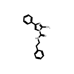 Cc1nc(-c2ccccc2)cn1C(=O)NCCc1ccccc1